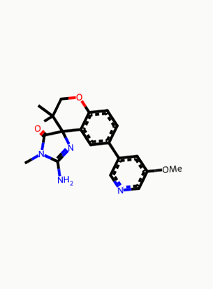 COc1cncc(-c2ccc3c(c2)C2(N=C(N)N(C)C2=O)C(C)(C)CO3)c1